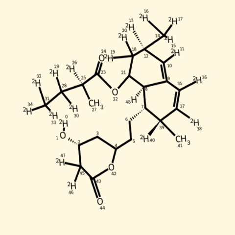 [2H]O[C@@H]1CC(CC[C@@H]2[C@@H]3C(=C([2H])[C@]([2H])(C([2H])([2H])[2H])C([2H])([2H])C3OC(=O)[C@@]([2H])(C)C([2H])([2H])C([2H])([2H])[2H])C([2H])=C([2H])[C@]2([2H])C)OC(=O)C1([2H])[2H]